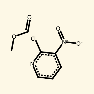 COC=O.O=[N+]([O-])c1cccnc1Cl